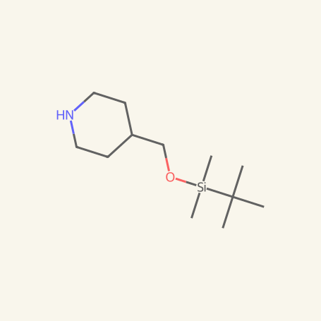 CC(C)(C)[Si](C)(C)OCC1CCNCC1